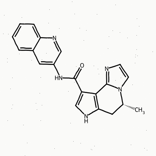 C[C@@H]1Cc2[nH]cc(C(=O)Nc3cnc4ccccc4c3)c2-c2nccn21